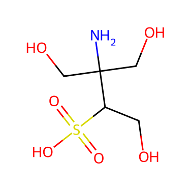 NC(CO)(CO)C(CO)S(=O)(=O)O